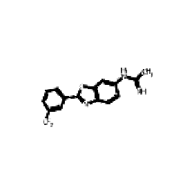 CC(=N)Nc1ccc2nc(-c3cccc(C(F)(F)F)c3)oc2c1